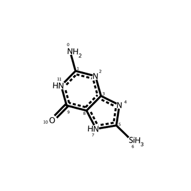 Nc1nc2nc([SiH3])[nH]c2c(=O)[nH]1